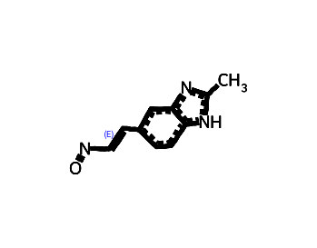 Cc1nc2cc(/C=C/N=O)ccc2[nH]1